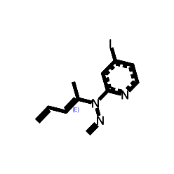 C=C/C=C(\C)N(N=C)c1cc(I)ccn1